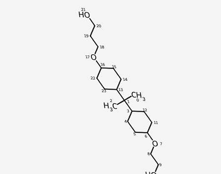 CC(C)(C1CCC(OCCO)CC1)C1CCC(OCCCO)CC1